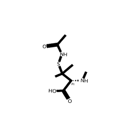 CN[C@H](C(=O)O)C(C)(C)SNC(C)=O